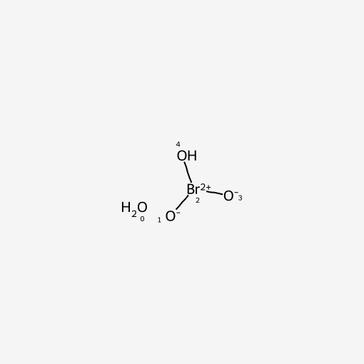 O.[O-][Br+2]([O-])O